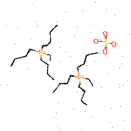 CCCC[P+](CC)(CCCC)CCCC.CCCC[P+](CC)(CCCC)CCCC.O=S(=O)([O-])[O-]